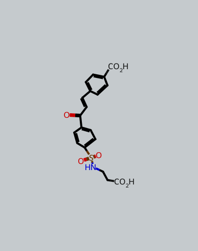 O=C(O)CCNS(=O)(=O)c1ccc(C(=O)/C=C/c2ccc(C(=O)O)cc2)cc1